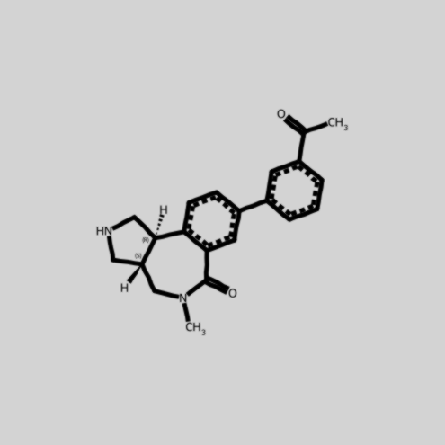 CC(=O)c1cccc(-c2ccc3c(c2)C(=O)N(C)C[C@@H]2CNC[C@@H]32)c1